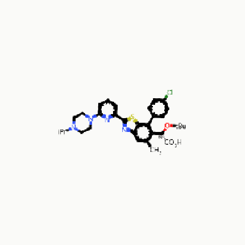 Cc1cc2nc(-c3cccc(N4CCN(C(C)C)CC4)n3)sc2c(-c2ccc(Cl)cc2)c1[C@H](OC(C)(C)C)C(=O)O